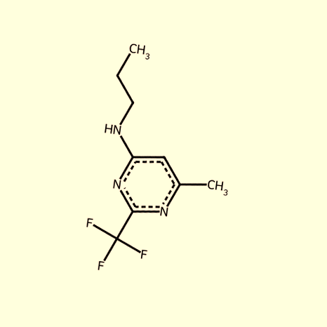 CCCNc1cc(C)nc(C(F)(F)F)n1